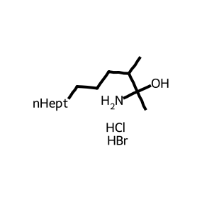 Br.CCCCCCCCCCC(C)C(C)(N)O.Cl